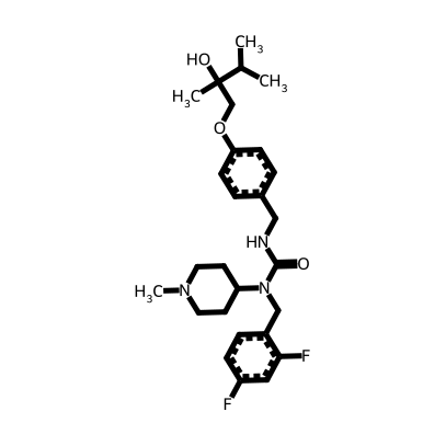 CC(C)C(C)(O)COc1ccc(CNC(=O)N(Cc2ccc(F)cc2F)C2CCN(C)CC2)cc1